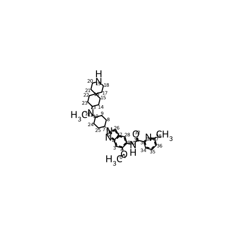 COc1cc2nn([C@H]3CC[C@H](N(C)C4CCC5(CCNCC5)CC4)CC3)cc2cc1NC(=O)c1cccc(C)n1